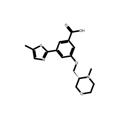 Cc1cnc(-c2cc(OC[C@H]3COCCN3C)cc(C(=O)O)c2)s1